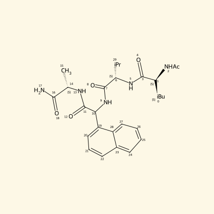 CC[C@H](C)[C@H](NC(C)=O)C(=O)N[C@H](C(=O)NC(C(=O)N[C@@H](C)C(N)=O)c1cccc2ccccc12)C(C)C